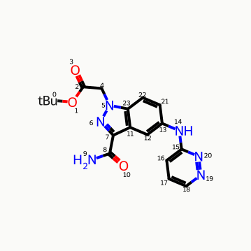 CC(C)(C)OC(=O)Cn1nc(C(N)=O)c2cc(Nc3cccnn3)ccc21